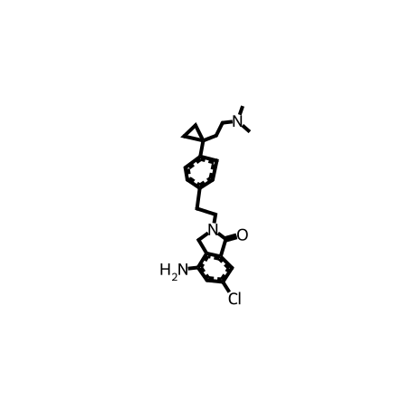 CN(C)CCC1(c2ccc(CCN3Cc4c(N)cc(Cl)cc4C3=O)cc2)CC1